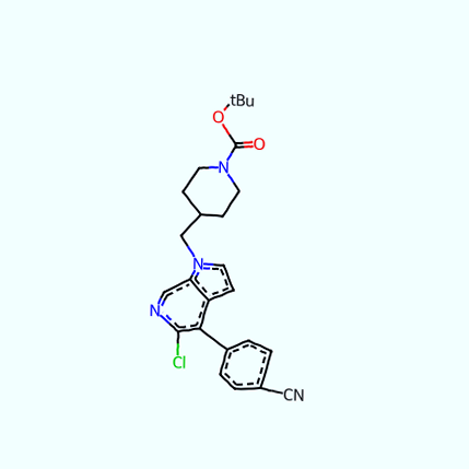 CC(C)(C)OC(=O)N1CCC(Cn2ccc3c(-c4ccc(C#N)cc4)c(Cl)ncc32)CC1